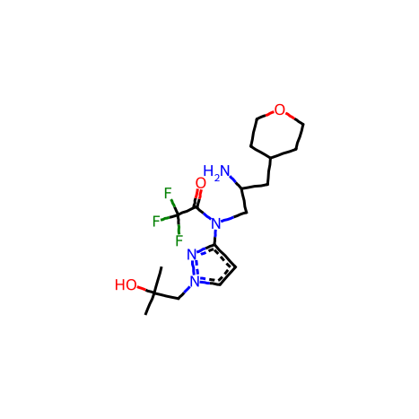 CC(C)(O)Cn1ccc(N(CC(N)CC2CCOCC2)C(=O)C(F)(F)F)n1